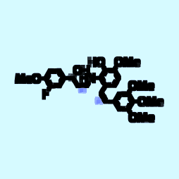 COc1ccc([C@H](O)/C=C\Nc2c(/C=C\c3cc(OC)c(OC)c(OC)c3)ccc(OC)c2O)cc1F